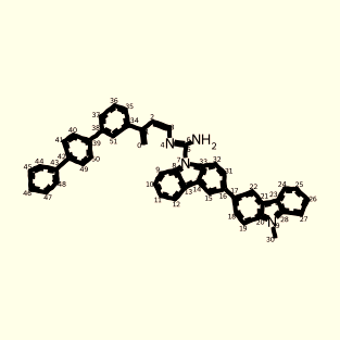 C=C(/C=C\N=C(/N)n1c2ccccc2c2cc(-c3ccc4c(c3)c3ccccc3n4C)ccc21)c1cccc(-c2ccc(-c3ccccc3)cc2)c1